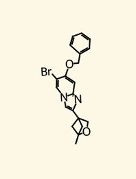 CC12CC(c3cn4cc(Br)c(OCc5ccccc5)cc4n3)(CO1)C2